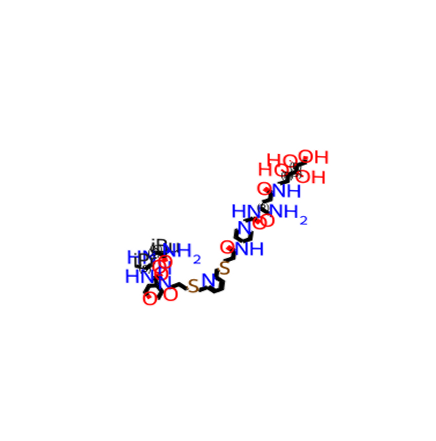 CC[C@H](C)[C@H](NC(=O)[C@H](CC(C)C)NC(=O)C1(NC(=O)CCSCc2cccc(CSCCC(=O)NC3CCN(CC(=O)N[C@H](CCC(=O)NCC[C@@H](O)[C@H](O)[C@H](O)CO)C(N)=O)CC3)n2)CCOCC1)C(N)=O